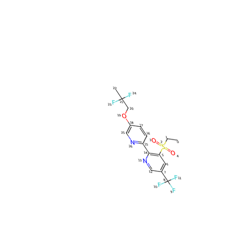 CCS(=O)(=O)c1cc(C(F)(F)F)cnc1-c1ccc(OCC(C)(F)F)cn1